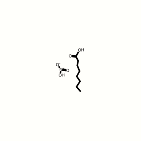 CCCCCCCC(=O)O.O=[N+]([O-])O